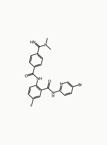 CN(C)C(=N)c1ccc(C(=O)Nc2ccc(F)cc2C(=O)Nc2ccc(Br)cn2)cc1